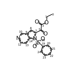 CCOC(=O)C(=O)c1cc2cnccc2n1S(=O)(=O)c1ccccc1